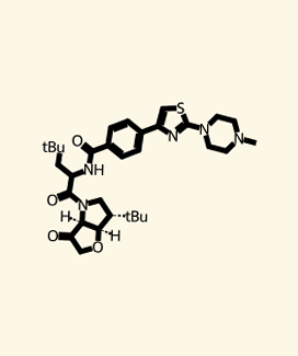 CN1CCN(c2nc(-c3ccc(C(=O)NC(CC(C)(C)C)C(=O)N4C[C@H](C(C)(C)C)[C@H]5OCC(=O)[C@H]54)cc3)cs2)CC1